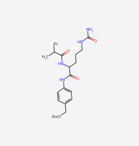 COCc1ccc(NC(=O)C(CCCNC(N)=O)NC(=O)C(C)C(C)C)cc1